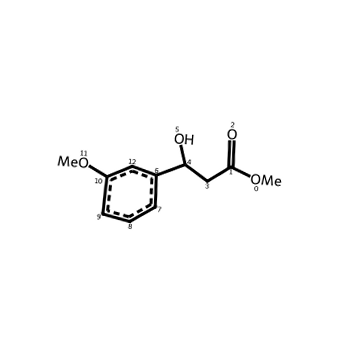 COC(=O)CC(O)c1cccc(OC)c1